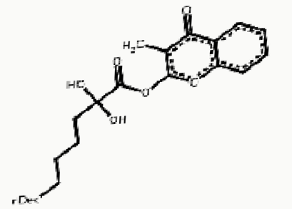 CCCCCCCCCCCCCCC(O)(O)C(=O)Oc1oc2ccccc2c(=O)c1C